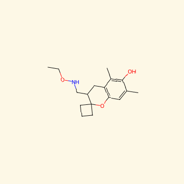 CCONCC1Cc2c(cc(C)c(O)c2C)OC12CCC2